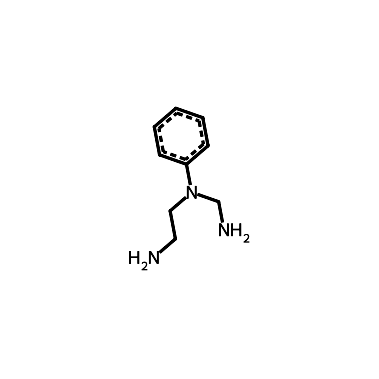 NCCN(CN)c1ccccc1